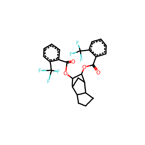 O=C(OC1C2CC(C3CCCC32)C1OC(=O)c1ccccc1C(F)(F)F)c1ccccc1C(F)(F)F